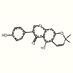 CC1(C)C=Cc2c(cc3occ(-c4ccc(O)cc4)c(=O)c3c2O)O1